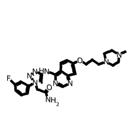 CN1CCN(CCCOc2ccc3c(NC4=C[N+](CC(N)=O)(c5cccc(F)c5)N=N4)ncnc3c2)CC1